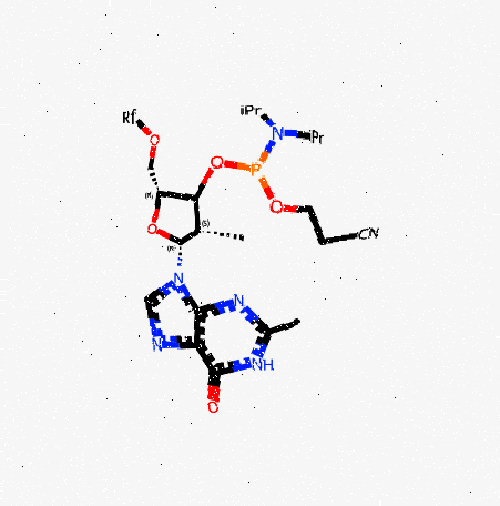 Cc1nc2c(ncn2[C@@H]2O[C@H](C[O][Rf])C(OP(OCCC#N)N(C(C)C)C(C)C)[C@@H]2C)c(=O)[nH]1